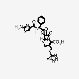 Cn1nnnc1SCC1=C(C(=O)O)N2C(=O)C(NC(=O)C(NC(=O)c3csc(N)n3)c3ccccc3)[C@H]2SC1